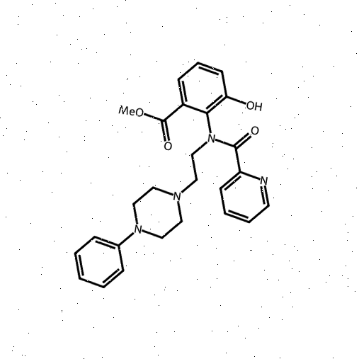 COC(=O)c1cccc(O)c1N(CCN1CCN(c2ccccc2)CC1)C(=O)c1ccccn1